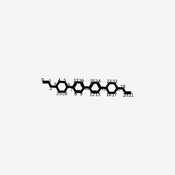 C=CCC1CCC(c2ccc(-c3ccc(C4CCC(CC=C)CC4)cc3)cc2)CC1